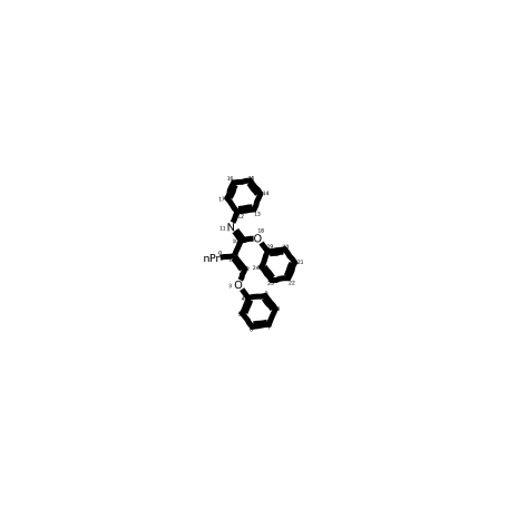 CCCC(=C\Oc1ccccc1)/C(=N/c1ccccc1)Oc1ccccc1